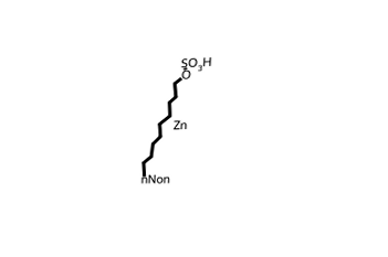 CCCCCCCCCCCCCCCCCCOS(=O)(=O)O.[Zn]